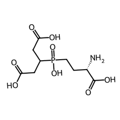 N[C@@H](CCP(=O)(O)C(CC(=O)O)CC(=O)O)C(=O)O